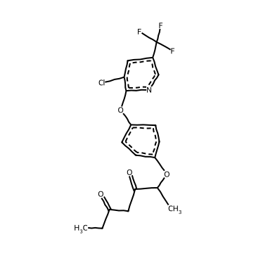 CCC(=O)CC(=O)C(C)Oc1ccc(Oc2ncc(C(F)(F)F)cc2Cl)cc1